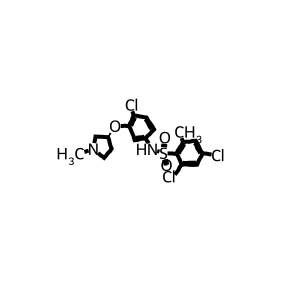 Cc1cc(Cl)cc(Cl)c1S(=O)(=O)Nc1ccc(Cl)c(O[C@@H]2CCN(C)C2)c1